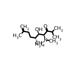 C=C(C)CC[C@@H](C)[C@@H](O)[C@@H](C(=O)C(C)C)N(C)C